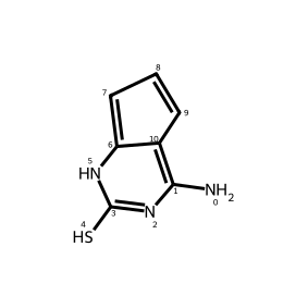 Nc1nc(S)[nH]c2cccc1-2